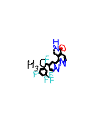 CC(F)(c1cc(F)cc(C(F)(F)F)c1)c1ccnc(-c2nccc3c2CCNC3=O)c1